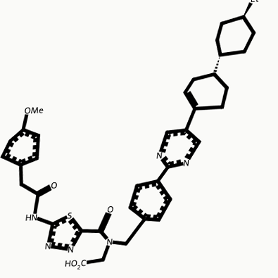 CC[C@H]1CC[C@H](C2CC=C(c3cnc(-c4ccc(CN(CC(=O)O)C(=O)c5nnc(NC(=O)Cc6ccc(OC)cc6)s5)cc4)nc3)CC2)CC1